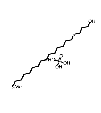 CSCCCCCCCCCCCCCCSCCCO.O=P(O)(O)O